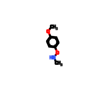 CNOc1ccc(OC)cc1